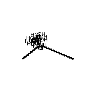 CCCCCCCCCCCCCCCCCCCCCCCCCC(=O)N[C@@H](COP(=O)(O)O[C@H]1C(O)C(O)C(O)[C@@H](O)C1O[C@H]1O[C@H](CO)[C@@H](O)C(O)C1O)[C@H](O)[C@H](O)CCCCCCCCCCCCCC